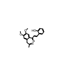 COc1cc2c(cc1OC)C(C=Cc1ccccc1O)=NN=C(C)C2